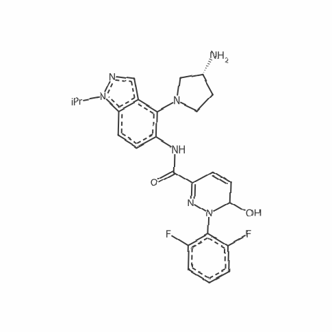 CC(C)n1ncc2c(N3CC[C@@H](N)C3)c(NC(=O)C3=NN(c4c(F)cccc4F)C(O)C=C3)ccc21